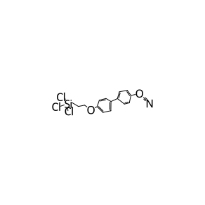 N#COc1ccc(-c2ccc(OCCC[Si](Cl)(Cl)Cl)cc2)cc1